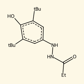 CCC(=O)NNc1cc(C(C)(C)C)c(O)c(C(C)(C)C)c1